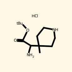 CC(C)(C)OC(=O)C(N)C1(C)CCNCC1.Cl